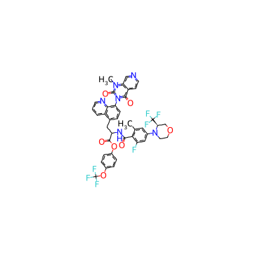 Cc1cc(N2CCOC[C@@H]2C(F)(F)F)cc(F)c1C(=O)NC(Cc1ccc(-n2c(=O)c3ccncc3n(C)c2=O)c2ncccc12)C(=O)Oc1ccc(OC(F)(F)F)cc1